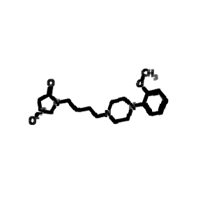 COc1ccccc1N1CCN(CCCCN2C[S+]([O-])CC2=O)CC1